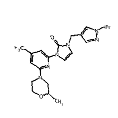 CC(C)n1cc(Cn2ccn(-c3cc(C(F)(F)F)cc(N4CCO[C@H](C)C4)n3)c2=O)cn1